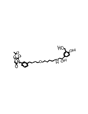 CC(=O)ON1CC(=O)N(c2cccc(CCCCOCCCCCCNC[C@@H](O)c3ccc(O)c(CO)c3)c2)C1=O